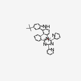 CC(C)(C)c1ccc2[nH]c3ccc(C(C)(C)C)c(-c4ccccc4-c4nc(-c5ccccn5)nc(-c5ccccn5)n4)c3c2c1